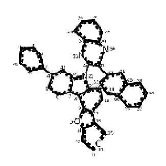 c1ccc(-c2ccc3c4c5oc6ccccc6c5ccc4n(-c4nc5ccccc5nc4-c4ccc5ccccc5c4)c3c2)cc1